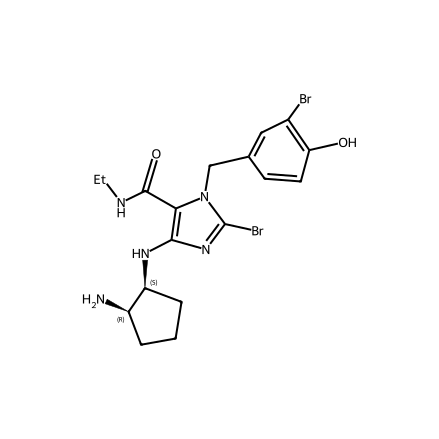 CCNC(=O)c1c(N[C@H]2CCC[C@H]2N)nc(Br)n1Cc1ccc(O)c(Br)c1